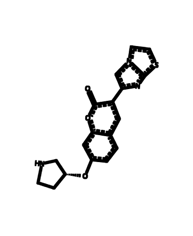 O=c1oc2cc(O[C@@H]3CCNC3)ccc2cc1-c1cn2ccsc2n1